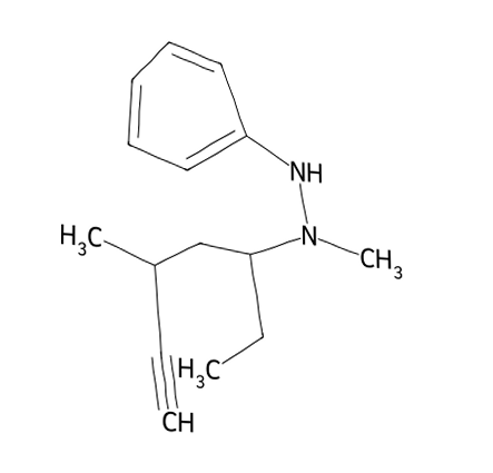 C#CC(C)CC(CC)N(C)Nc1ccccc1